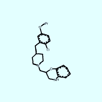 CC(C)Oc1ccc(Cl)c(CC2CCN(CC3CNc4ccccc4O3)CC2)c1